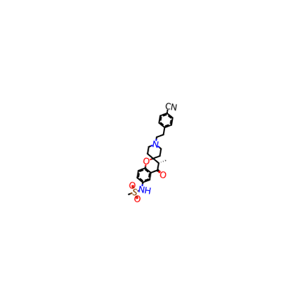 C[C@@H]1C(=O)c2cc(NS(C)(=O)=O)ccc2OC12CCN(CCc1ccc(C#N)cc1)CC2